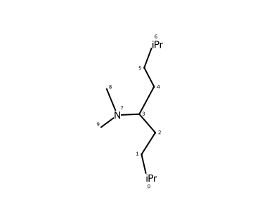 CC(C)CCC(CCC(C)C)N(C)C